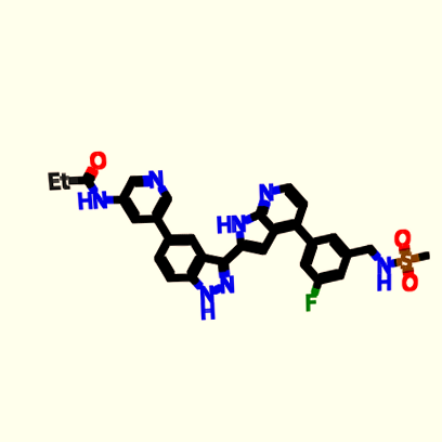 CCC(=O)Nc1cncc(-c2ccc3[nH]nc(-c4cc5c(-c6cc(F)cc(CNS(C)(=O)=O)c6)ccnc5[nH]4)c3c2)c1